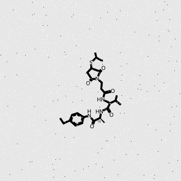 CCc1ccc(NC(=O)[C@H](C)NC(=O)C(NC(=O)CCN2C(=O)CC(SC(C)C)C2=O)C(C)C)cc1